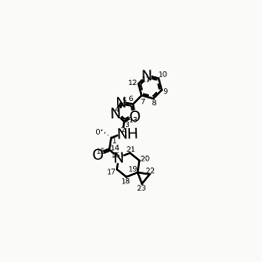 C[C@H](Nc1nnc(-c2cccnc2)o1)C(=O)N1CCC2(CC1)CC2